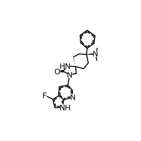 CN(C)[C@]1(c2ccccc2)CC[C@]2(CC1)CN(c1cnc3[nH]cc(F)c3c1)C(=O)N2